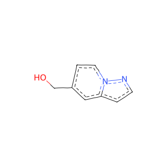 OCc1ccn2nccc2c1